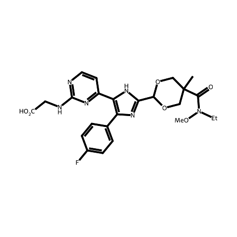 CCN(OC)C(=O)C1(C)COC(c2nc(-c3ccc(F)cc3)c(-c3ccnc(NCC(=O)O)n3)[nH]2)OC1